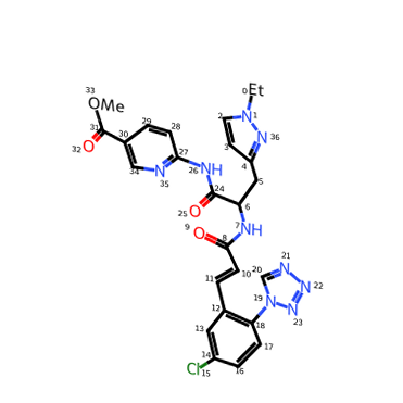 CCn1ccc(CC(NC(=O)C=Cc2cc(Cl)ccc2-n2cnnn2)C(=O)Nc2ccc(C(=O)OC)cn2)n1